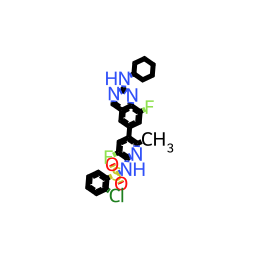 Cc1nc(NS(=O)(=O)c2ccccc2Cl)c(F)cc1-c1cc(F)c2nc(NC3CCCCC3)ncc2c1